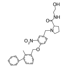 Cc1c(COc2ccc(CN3CCCC3C(=O)NCCO)cc2[N+](=O)[O-])cccc1-c1ccccc1